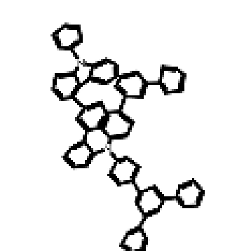 c1ccc(-c2cccc(-c3ccc(N(c4ccc(-c5cc(-c6ccccc6)cc(-c6ccccc6)c5)cc4)c4ccccc4-c4cccc(-c5cccc6c5c5ccccc5n6-c5ccccc5)c4)cc3)c2)cc1